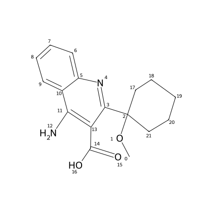 COC1(c2nc3ccccc3c(N)c2C(=O)O)CCCCC1